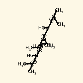 CCCCCCCCOC(CCC(=O)OCCCCCCCCN(CCCCO)CCCCCCCCOC(=O)CCC(OCCCCCCCC)OCCCCC(CCC)C(C)CCCCCCOC(CCC(=O)OCCCCCN(CCCCO)CCCCCOC(=O)CCC(OCCCCCCCC)OCCCCCCCC)OCCCCCCCC)OCCCCCCCC